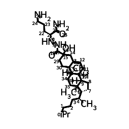 CC(C)CCC[C@@H](C)[C@H]1CC[C@H]2[C@@H]3CC=C4CC(O)(C(=O)NN[C@@H](CCCN)C(N)=O)CC[C@]4(C)[C@H]3CC[C@]12C